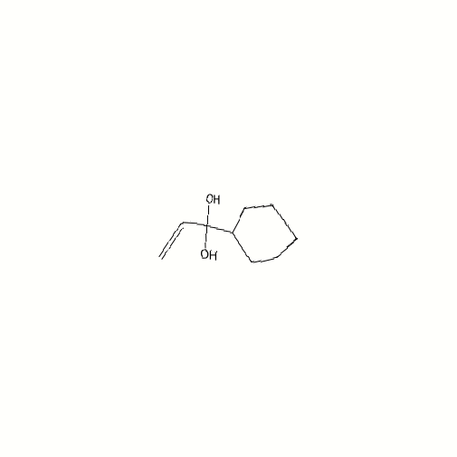 C=CC(O)(O)C1CCCCC1